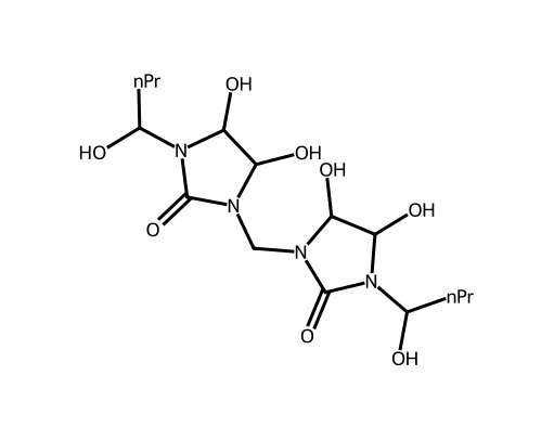 CCCC(O)N1C(=O)N(CN2C(=O)N(C(O)CCC)C(O)C2O)C(O)C1O